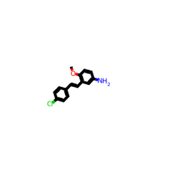 COc1ccc(N)cc1/C=C/c1ccc(Cl)cc1